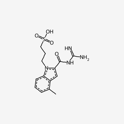 Cc1cccc2c1cc(C(=O)NC(=N)N)n2CCCS(=O)(=O)O